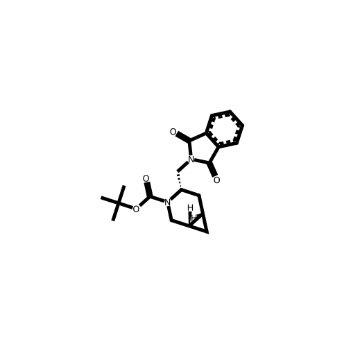 CC(C)(C)OC(=O)N1C[C@H]2C[C@H]2C[C@H]1CN1C(=O)c2ccccc2C1=O